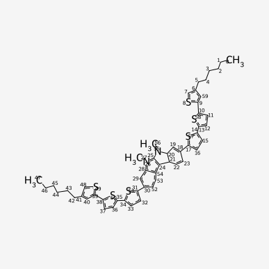 CCCCCCc1csc(-c2ccc(-c3ccc(C4=CC5C(C=C4)c4c(n(C)c6cc(-c7ccc(-c8ccc(-c9cc(CCCCCC)cs9)s8)s7)ccc46)N5C)s3)s2)c1